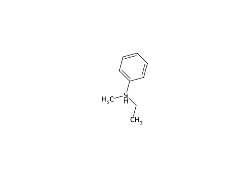 CC[SiH](C)c1ccccc1